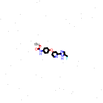 CC(C)(C)OC(=O)Nc1ccc(Oc2ccnc(-c3ncc(CF)[nH]3)c2)cc1